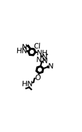 CC(C)NCCOc1ccc(-c2nc(Nc3ccc4[nH]ncc4c3Cl)n(C)n2)c(C#N)c1